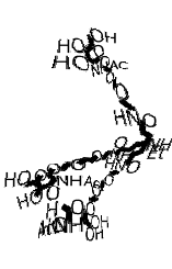 CCNC(CCC(=O)NCCOCCOCCOC(OC(C)CO)C(NC(C)=O)C(O)O)(CCC(=O)NCCOCCOCCOC1OC(CO)C(O)C(O)C1NC(C)=O)CCC(=O)NCCOCCOCCOC1OC(CO)C(O)C(O)C1NC(C)=O